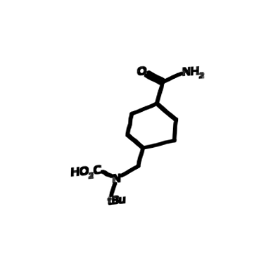 CC(C)(C)N(CC1CCC(C(N)=O)CC1)C(=O)O